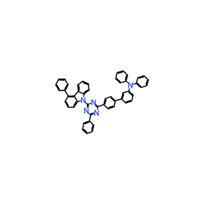 c1ccc(-c2nc(-c3ccc(-c4cccc(N(c5ccccc5)c5ccccc5)c4)cc3)nc(-n3c4ccccc4c4c(-c5ccccc5)cccc43)n2)cc1